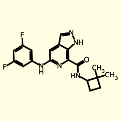 CC1(C)CCC1NC(=O)c1nc(Nc2cc(F)cc(F)c2)cc2cn[nH]c12